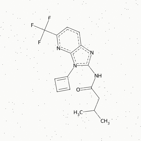 CC(C)CC(=O)Nc1nc2ccc(C(F)(F)F)nc2n1C1=CC=C1